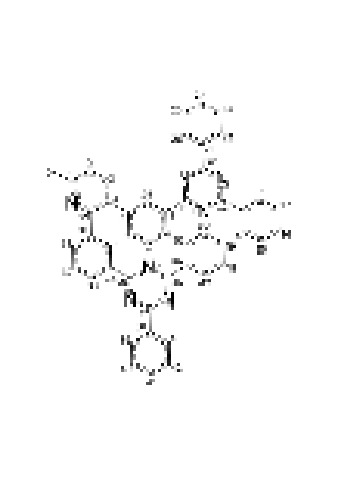 Cc1ccc(-c2cccc(-c3nc(-c4ccccc4)nc(-c4ccccc4)n3)c2)c(-c2cccc(-c3nc(-c4ccccc4)nc(-c4ccccc4)n3)c2)n1